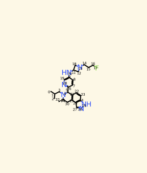 CC(C)CN1C(c2ccc(NC3CN(CCCF)C3)cn2)c2ccc3[nH]ncc3c2C[C@H]1C